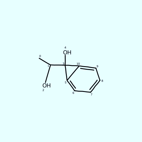 CC(O)C1(O)c2ccccc21